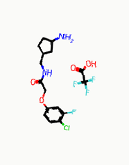 NC1CCC(CNC(=O)COc2ccc(Cl)c(F)c2)C1.O=C(O)C(F)(F)F